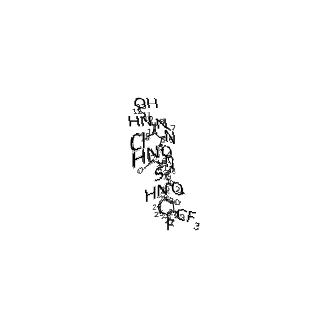 CC(NC(=O)c1ncnc(NCCO)c1Cl)c1ncc(C(=O)Nc2ccc(F)c(C(F)(F)F)c2)s1